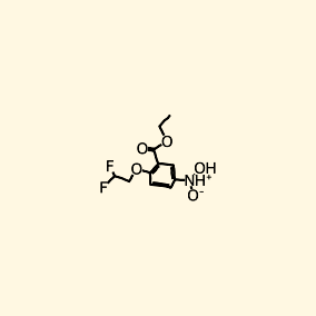 CCOC(=O)c1cc([NH+]([O-])O)ccc1OCC(F)F